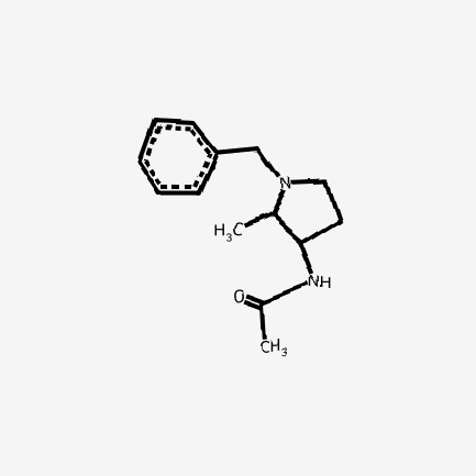 CC(=O)NC1CCN(Cc2ccccc2)C1C